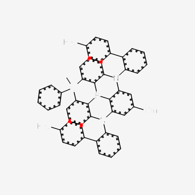 CC(C)(C)c1cc2c3c(c1)N(c1ccccc1-c1ccc(C(F)(F)F)cc1)c1cccc4c1B3c1c(cccc1[Si]4(C)c1ccccc1)N2c1ccccc1-c1ccc(C(F)(F)F)cc1